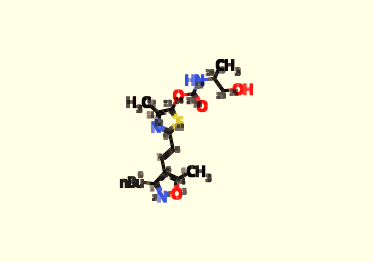 CCCCc1noc(C)c1/C=C/c1nc(C)c(OC(=O)NC(C)CO)s1